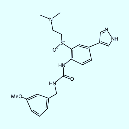 COc1cccc(CNC(=O)Nc2ccc(-c3cn[nH]c3)cc2[S+]([O-])CCN(C)C)c1